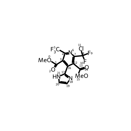 COC(=O)c1c(C(F)(F)F)nc(C(F)(F)Cl)c(C(=O)OC)c1-c1ncc[nH]1